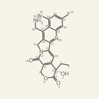 CC[C@@]1(O)C(=O)OCc2c1cc1n(c2=O)Cc2c-1nc1cc(F)cc(Br)c1c2CN